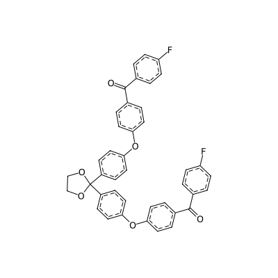 O=C(c1ccc(F)cc1)c1ccc(Oc2ccc(C3(c4ccc(Oc5ccc(C(=O)c6ccc(F)cc6)cc5)cc4)OCCO3)cc2)cc1